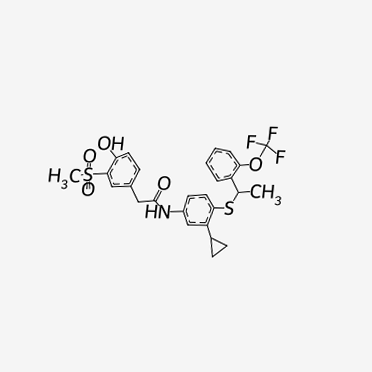 CC(Sc1ccc(NC(=O)Cc2ccc(O)c(S(C)(=O)=O)c2)cc1C1CC1)c1ccccc1OC(F)(F)F